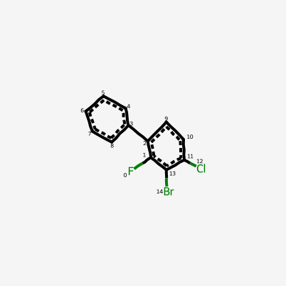 Fc1c(-c2ccccc2)ccc(Cl)c1Br